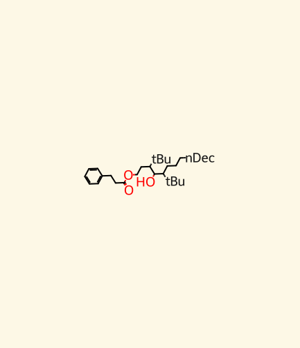 CCCCCCCCCCCCCC(C(O)C(CCOC(=O)CCc1ccccc1)C(C)(C)C)C(C)(C)C